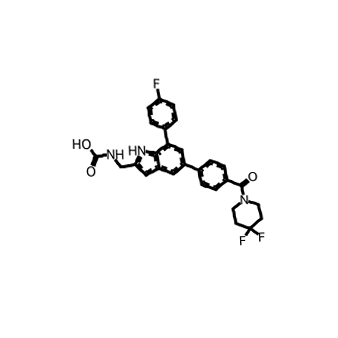 O=C(O)NCc1cc2cc(-c3ccc(C(=O)N4CCC(F)(F)CC4)cc3)cc(-c3ccc(F)cc3)c2[nH]1